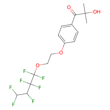 CC(C)(O)C(=O)c1ccc(OCCOC(F)(F)C(F)(F)C(F)C(F)F)cc1